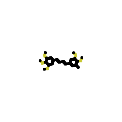 CSC1=CC(/C=C/C=C/c2cc(C)c(SC)c(SC)c2)=CC(SC)C1SC